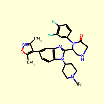 Cc1noc(C)c1-c1ccc2c(c1)nc(C1CNCC(=O)N1c1ccc(F)c(F)c1)n2C1CCN(C(C)C)CC1